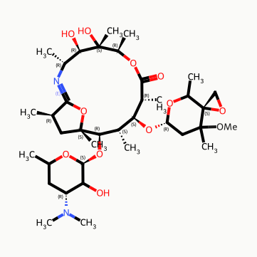 COC1(C)C[C@H](O[C@H]2[C@H](C)[C@@H](O[C@@H]3OC(C)C[C@@H](N(C)C)C3O)[C@]3(C)C[C@@H](C)/C(=N\[C@H](C)[C@@H](O)[C@](C)(O)[C@@H](C)OC(=O)[C@@H]2C)O3)OC(C)[C@@]12CO2